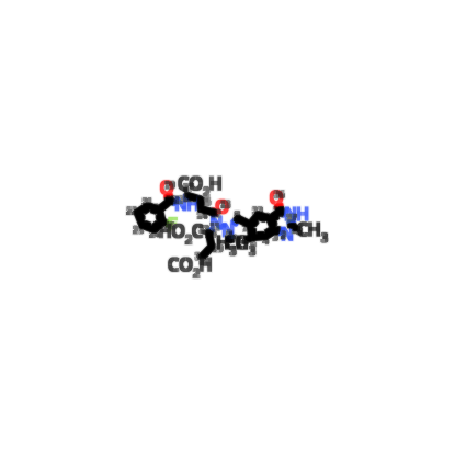 Cc1nc2cc(C)c(CN(C)N(C(=O)CC[C@H](NC(=O)c3ccccc3F)C(=O)O)[C@H](CCC(=O)O)C(=O)O)cc2c(=O)[nH]1